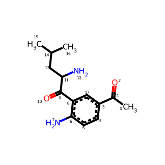 CC(=O)c1ccc(N)c(C(=O)C(N)CC(C)C)c1